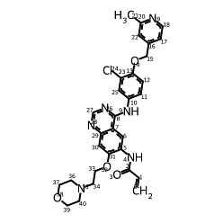 C=CC(=O)Nc1cc2c(Nc3ccc(OCc4ccnc(C)c4)c(Cl)c3)ncnc2cc1OCCN1CCOCC1